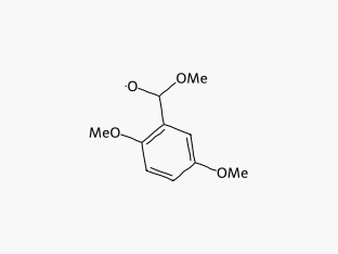 COc1ccc(OC)c(C([O])OC)c1